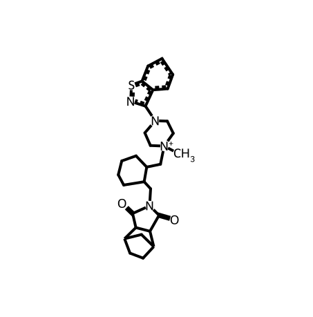 C[N+]1(CC2CCCCC2CN2C(=O)C3C4CCC(C4)C3C2=O)CCN(c2nsc3ccccc23)CC1